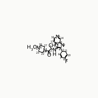 CC(Nc1c(C2C=CC(F)=CC2)nc2cnccn12)C(=O)N1CCN(C)CC1